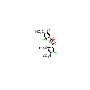 O=C(O)C1=CC(Cl)(C(=O)O)C(C(=O)OC(=O)C2C=C(Cl)C(C(=O)O)=CC2(Cl)C(=O)O)C=C1Cl